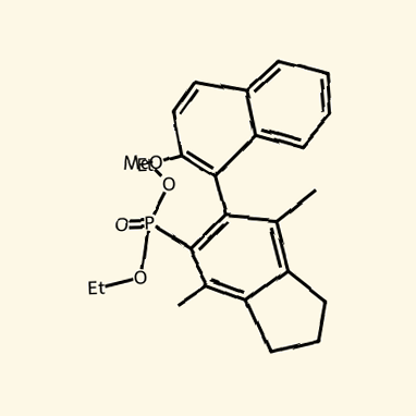 CCOP(=O)(OCC)c1c(C)c2c(c(C)c1-c1c(OC)ccc3ccccc13)CCC2